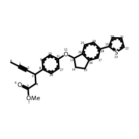 CC#CC(CC(=O)OC)c1ccc(OC2CCc3cc(-c4cccs4)ccc32)cc1